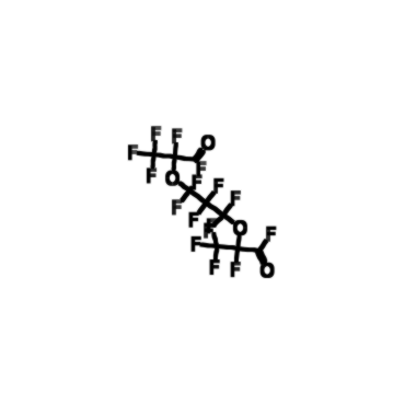 O=C(F)C(F)(OC(F)(F)C(F)(F)C(F)(F)OC(F)(C(=O)F)C(F)(F)F)C(F)(F)F